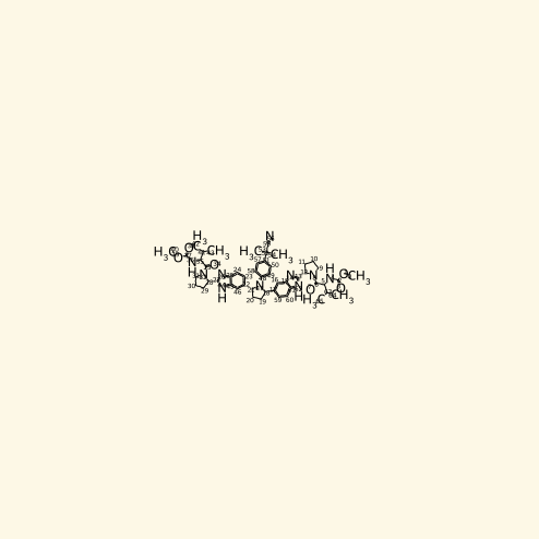 COC(=O)N[C@H](C(=O)N1CCC[C@H]1c1nc2cc([C@H]3CC[C@H](c4ccc5nc([C@@H]6CCCN6C(=O)[C@@H](NC(=O)OC)C(C)C)[nH]c5c4)N3c3ccc(C(C)(C)C#N)cc3)ccc2[nH]1)C(C)C